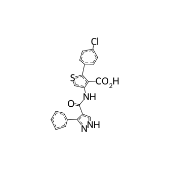 O=C(Nc1csc(-c2ccc(Cl)cc2)c1C(=O)O)c1c[nH]nc1-c1ccccc1